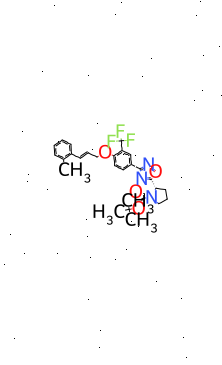 Cc1ccccc1/C=C/COc1ccc(-c2noc([C@@H]3CCCN3C(=O)OC(C)(C)C)n2)cc1C(F)(F)F